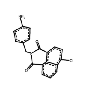 Nc1ccc(CN2C(=O)c3cccc4c(Cl)ccc(c34)C2=O)cc1